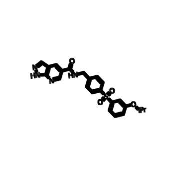 CC(C)Oc1cccc(S(=O)(=O)c2ccc(CNC(=O)c3cnc4[nH]ncc4c3)cc2)c1